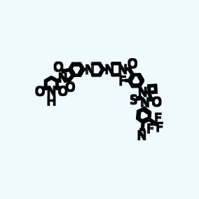 N#Cc1ccc(N2C(=O)C3(CCC3)N(c3ccc(C(=O)N4CCN(C5CCN(c6ccc7c(c6)C(=O)N(C6CCC(=O)NC6=O)C7=O)CC5)CC4)c(F)c3)C2=S)cc1C(F)(F)F